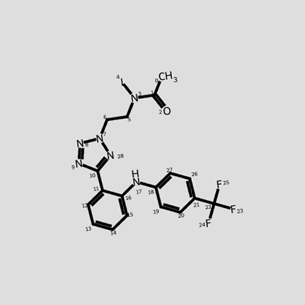 CC(=O)N(I)CCn1nnc(-c2ccccc2Nc2ccc(C(F)(F)F)cc2)n1